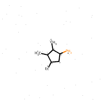 CCC1CC(P)C(C)C1C